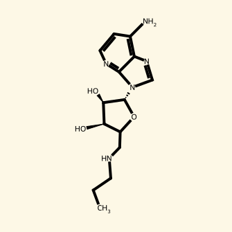 CCCNCC1O[C@@H](n2cnc3c(N)ccnc32)[C@H](O)[C@@H]1O